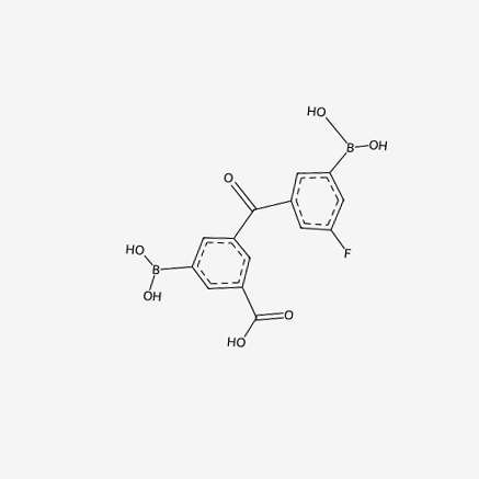 O=C(O)c1cc(B(O)O)cc(C(=O)c2cc(F)cc(B(O)O)c2)c1